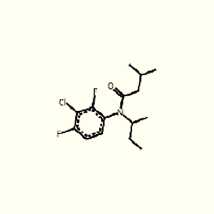 CCC(C)N(C(=O)CC(C)C)c1ccc(F)c(Cl)c1F